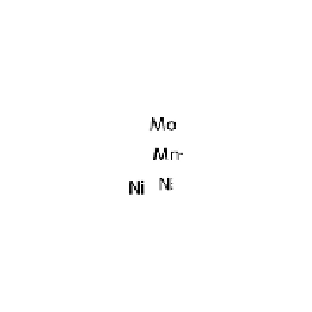 [Mn].[Mo].[N].[Ni]